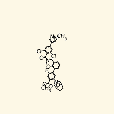 COC(=O)c1cc(F)c(-c2cccc3c2OCN(C(=O)c2c(Cl)cc(-c4cnn(C)c4)cc2Cl)C3)cc1N1CC2CCC(C1)O2